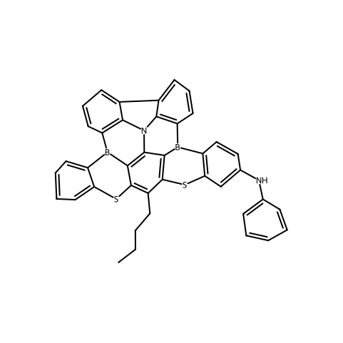 CCCCc1c2c3c4c5c1Sc1cc(Nc6ccccc6)ccc1B5c1cccc5c6cccc(c6n-4c15)B3c1ccccc1S2